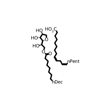 CCCCC/C=C\C/C=C\CCCCCCCC(=O)O.CCCCCCCCCCCCCCCCCC(=O)OC[C@@H](O)[C@H]1OC[C@H](O)[C@H]1O